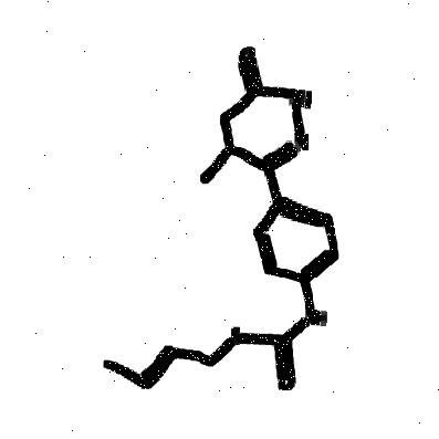 CC=CCSC(=O)Nc1ccc(C2=NNC(=O)CC2C)cc1